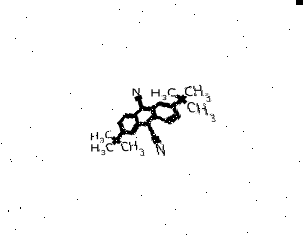 CC(C)(C)c1ccc2c(C#N)c3cc(C(C)(C)C)ccc3c(C#N)c2c1